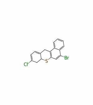 ClC1=CC=C2Cc3c(cc(Br)c4ccccc34)SC2C1